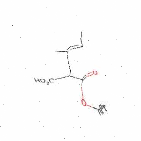 C/C=C(\C)C(C(=O)O)C(=O)OCCC